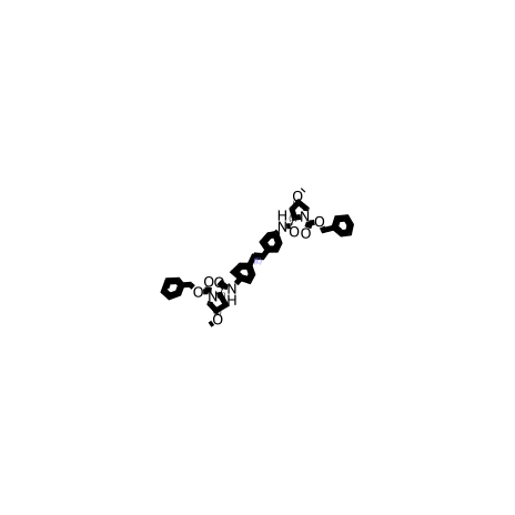 CO[C@H]1C[C@@H](C(=O)Nc2ccc(/C=C/c3ccc(NC(=O)[C@@H]4C[C@H](OC)CN4C(=O)OCc4ccccc4)cc3)cc2)N(C(=O)OCc2ccccc2)C1